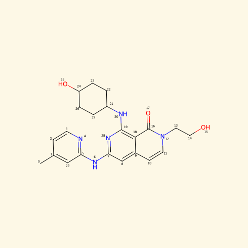 Cc1ccnc(Nc2cc3ccn(CCO)c(=O)c3c(NC3CCC(O)CC3)n2)c1